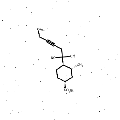 CCOC(=O)[C@H]1CC[C@@H](C(C#N)(C#N)CC#CCOC(C)=O)[C@H](C)C1